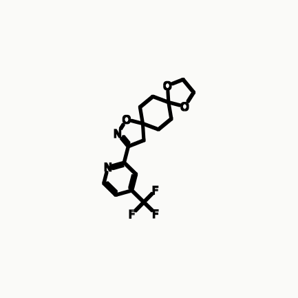 FC(F)(F)c1ccnc(C2=NOC3(CCC4(CC3)OCCO4)C2)c1